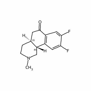 CN1CC[C@H]2CC(=O)c3cc(F)c(F)cc3[C@@H]2C1